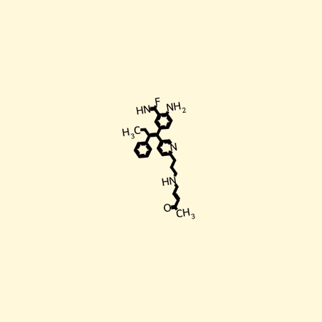 CC/C(=C(/c1ccc(CCCNC/C=C/C(C)=O)nc1)c1ccc(N)c(C(=N)F)c1)c1ccccc1